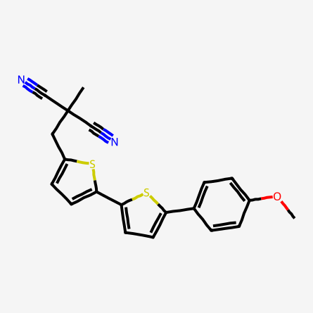 COc1ccc(-c2ccc(-c3ccc(CC(C)(C#N)C#N)s3)s2)cc1